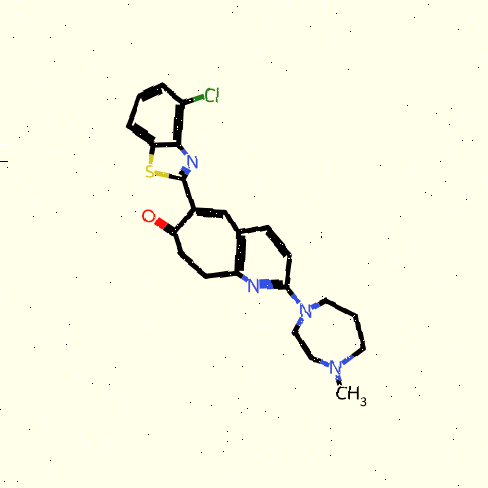 CN1CCCN(c2ccc3c(n2)CCC(=O)C(c2nc4c(Cl)cccc4s2)=C3)CC1